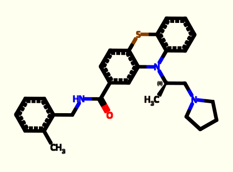 Cc1ccccc1CNC(=O)c1ccc2c(c1)N([C@H](C)CN1CCCC1)c1ccccc1S2